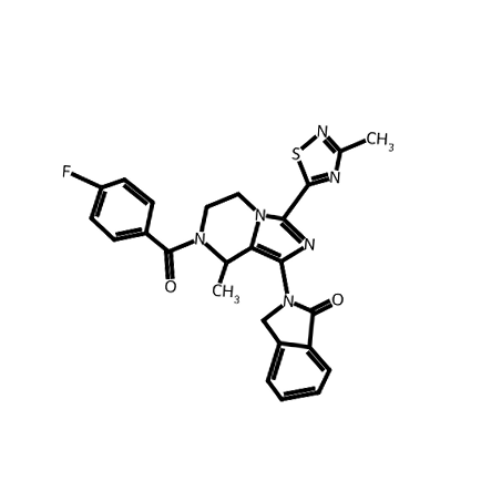 Cc1nsc(-c2nc(N3Cc4ccccc4C3=O)c3n2CCN(C(=O)c2ccc(F)cc2)C3C)n1